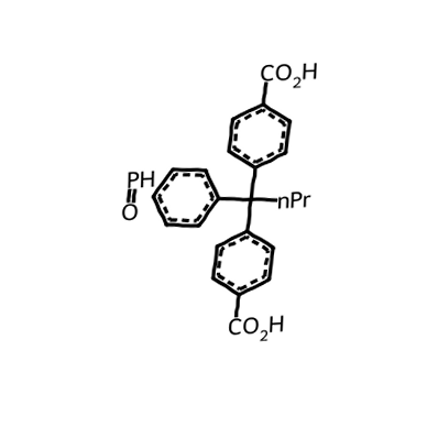 CCCC(c1ccccc1)(c1ccc(C(=O)O)cc1)c1ccc(C(=O)O)cc1.O=P